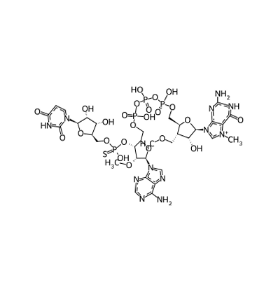 COC[C@H]1[C@@H](O)[C@H](n2c[n+](C)c3c(=O)[nH]c(N)nc32)O[C@@H]1COP(=O)(O)OP(=O)(O)OP(=O)(O)OCC1O[C@@H](n2cnc3c(N)ncnc32)[C@H](OC)[C@@H]1OP(O)(=S)OC[C@H]1O[C@@H](n2ccc(=O)[nH]c2=O)[C@H](O)[C@@H]1O